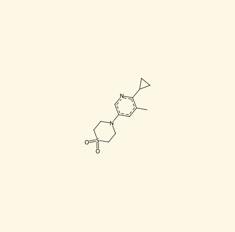 Cc1cc(N2CCS(=O)(=O)CC2)cnc1C1CC1